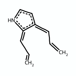 C=C/C=c1/cc[nH]/c1=C/C=C